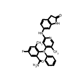 Cc1cc(F)cc(C(N)=O)c1N(c1ccccc1)c1cc(Nc2ccc3c(c2)NC(=O)C3)ncc1C(F)(F)F